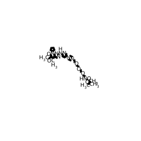 CC(=O)c1c(C)c2cnc(Nc3ccc(N4CCN(CCOCCOCCOCCNC(=O)OC(C)(C)C)CC4)cn3)nc2n(C2CCCC2)c1=O